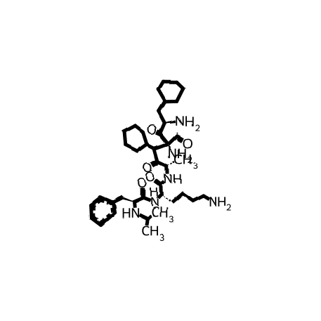 CC(C)N[C@@H](Cc1ccccc1)C(=O)N[C@@H](CCCCN)C(=O)N[C@@H](C)C(=O)C(C1CCCCC1)[C@](N)([C]=O)C(=O)[C@H](N)CC1CCCCC1